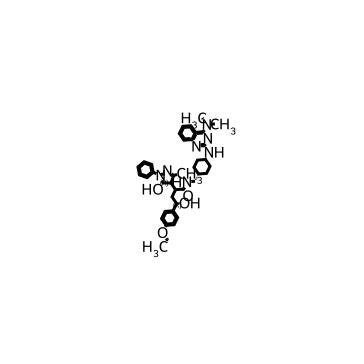 CCOc1ccc([C@H](O)CC(C(=O)NC[C@H]2CC[C@@H](Nc3nc(N(C)C)c4ccccc4n3)CC2)C2C(C)=NN(c3ccccc3)[C@@H]2O)cc1